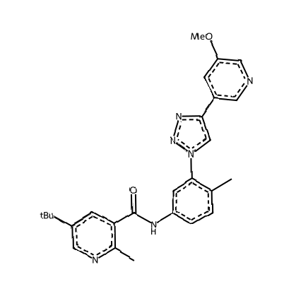 COc1cncc(-c2cn(-c3cc(NC(=O)c4cc(C(C)(C)C)cnc4C)ccc3C)nn2)c1